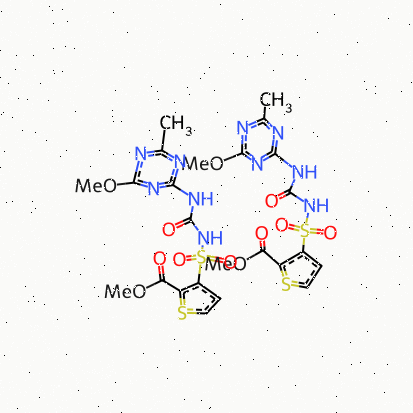 COC(=O)c1sccc1S(=O)(=O)NC(=O)Nc1nc(C)nc(OC)n1.COC(=O)c1sccc1S(=O)(=O)NC(=O)Nc1nc(C)nc(OC)n1